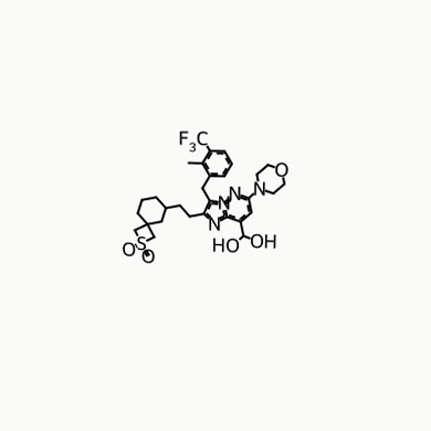 Cc1c(Cc2c(CCC3CCCC4(C3)CS(=O)(=O)C4)nc3c(C(O)O)cc(N4CCOCC4)nn23)cccc1C(F)(F)F